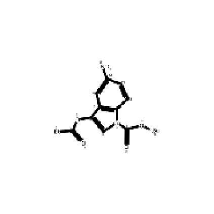 CCC(=O)Oc1cn(C(=O)OC(C)(C)C)c2ccc([N+](=O)[O-])cc12